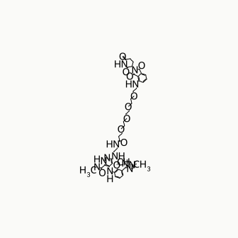 CNC(=O)c1nnc(NCCNC(=O)CCOCCOCCOCCOCCNc2cccc3c2C(=O)N(C2CCC(=O)NC2=O)C3=O)cc1Nc1cccc(-c2ncn(C)n2)c1OC